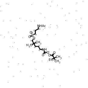 CCC(C)(C)C(=O)OOC(=O)NCCCC(C)(C)COS(=O)(=O)CCCNC(C)=O